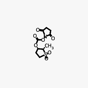 C[C@@H]1[C@H](OC(=O)ON2C(=O)CCC2=O)CCS1(=O)=O